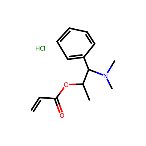 C=CC(=O)OC(C)C(c1ccccc1)N(C)C.Cl